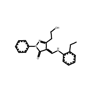 CCc1ccccc1NC=C1C(=O)N(c2ccccc2)N=C1CCO